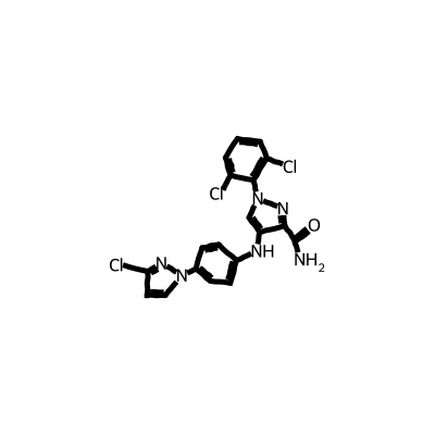 NC(=O)c1nn(-c2c(Cl)cccc2Cl)cc1Nc1ccc(-n2ccc(Cl)n2)cc1